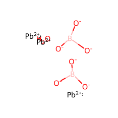 O.[O-]B([O-])[O-].[O-]B([O-])[O-].[Pb+2].[Pb+2].[Pb+2]